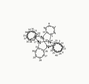 c1ccc(N2c3ccccc3N(c3ccccc3)C23N(c2ccccc2)c2ccccc2N3c2ccccc2)cc1